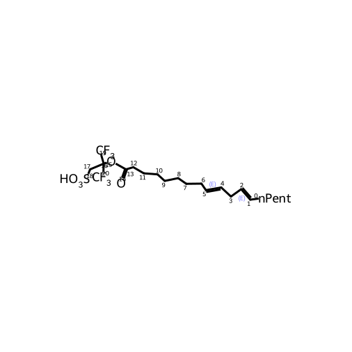 CCCCC/C=C/C/C=C/CCCCCCCC(=O)OC(CS(=O)(=O)O)(C(F)(F)F)C(F)(F)F